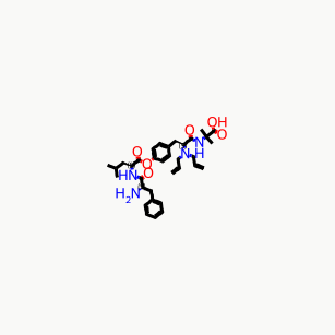 C=CCN(CC=C)[C@@H](Cc1ccc(OC(=O)[C@H](CC(C)C)NC(=O)[C@@H](N)Cc2ccccc2)cc1)C(=O)NC(C)(C)C(=O)O